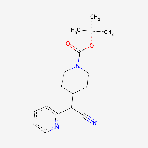 CC(C)(C)OC(=O)N1CCC(C(C#N)c2ccccn2)CC1